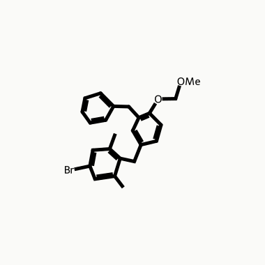 COCOc1ccc(Cc2c(C)cc(Br)cc2C)cc1Cc1ccccc1